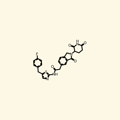 O=C1CCC(N2Cc3ccc(CC(=O)Nc4ncc(Cc5ccc(F)cc5)s4)cc3C2=O)C(=O)N1